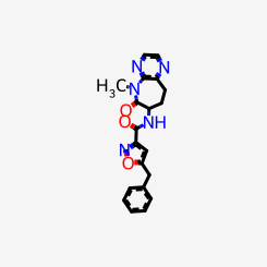 CN1C(=O)C(NC(=O)c2cc(Cc3ccccc3)on2)CCc2nccnc21